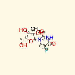 C[C@@]1(O)[C@H](O)[C@@H](CO)O[C@H]1n1cc(F)c(=O)[nH]c1=O